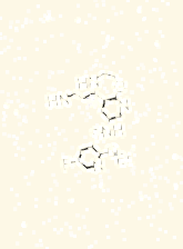 CCOc1ncc(F)cc1SNc1cnc2c(c1)/C(=C/C=N)NCCO2